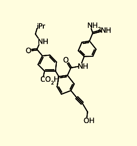 CC(C)CNC(=O)c1ccc(-c2ccc(C#CCO)cc2C(=O)Nc2ccc(C(=N)N)cc2)c(C(=O)O)c1